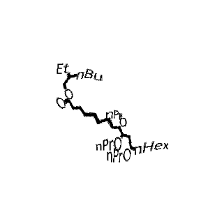 CCCCCCC(CC(OCCC)C(CCCCCCCC(=O)OCC(CC)CCCC)OCCC)OCCC